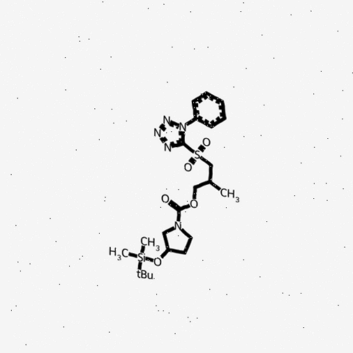 CC(COC(=O)N1CCC(O[Si](C)(C)C(C)(C)C)C1)CS(=O)(=O)c1nnnn1-c1ccccc1